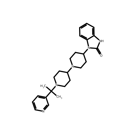 CC(C)(c1cccnc1)N1CCC(N2CCC(n3c(=O)[nH]c4ccccc43)CC2)CC1